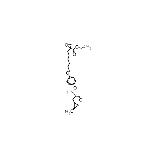 C=C1CC1CC(C=O)NOc1ccc(OCCCCCCC2(C(=O)OCC)CO2)cc1